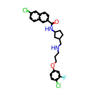 O=C(NC1CCC(CNCCCOc2ccc(Cl)c(F)c2)C1)c1ccc2cc(Cl)ccc2c1